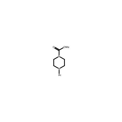 [CH2]C(=O)N1CCN(C(=O)OC)CC1